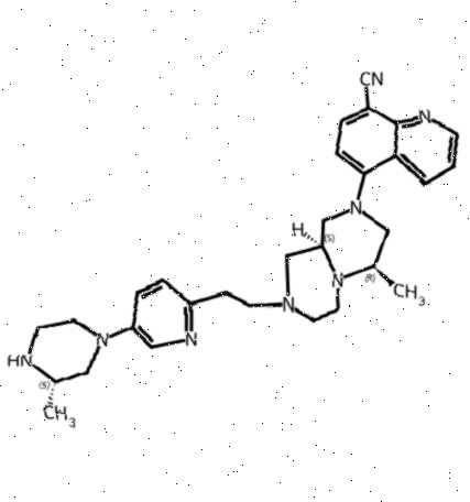 C[C@@H]1CN(c2ccc(C#N)c3ncccc23)C[C@@H]2CN(CCc3ccc(N4CCN[C@@H](C)C4)cn3)CCN21